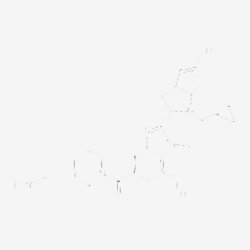 COc1cc(C(=O)N2CCC[C@@H](CCN)C2)cc2nc(-c3cc4cc(C)sc4n3CC3CC3)n(C)c12